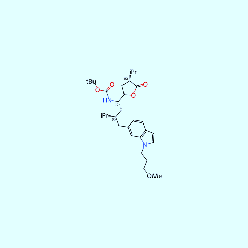 COCCCn1ccc2ccc(C[C@H](C[C@H](NC(=O)OC(C)(C)C)C3C[C@@H](C(C)C)C(=O)O3)C(C)C)cc21